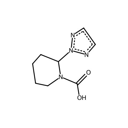 O=C(O)N1CCCCC1n1nccn1